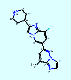 Cc1cc(-c2cc(F)c3nc(C4CCNCC4)cn3c2)nn2ccnc12